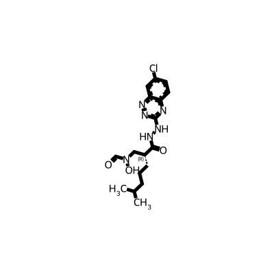 CC(C)CCC[C@H](CN(O)C=O)C(=O)NNc1nnc2cc(Cl)ccc2n1